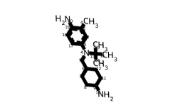 Cc1cc(N(CC2CCC(N)CC2)C(C)(C)C)ccc1N